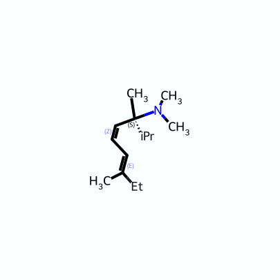 CC/C(C)=C/C=C\[C@](C)(C(C)C)N(C)C